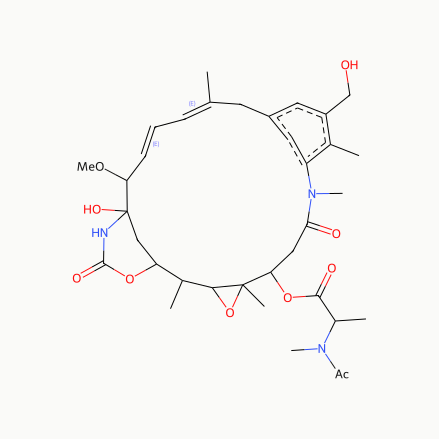 COC1/C=C/C=C(\C)Cc2cc(CO)c(C)c(c2)N(C)C(=O)CC(OC(=O)C(C)N(C)C(C)=O)C2(C)OC2C(C)C2CC1(O)NC(=O)O2